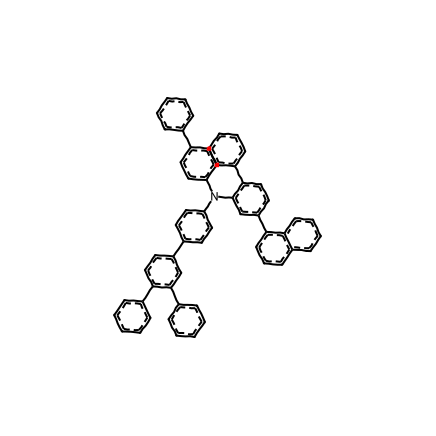 c1ccc(-c2ccc(N(c3ccc(-c4ccc(-c5ccccc5)c(-c5ccccc5)c4)cc3)c3cc(-c4cccc5ccccc45)ccc3-c3ccccc3)cc2)cc1